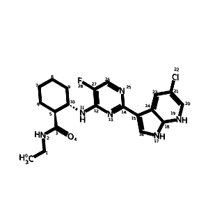 CCNC(=O)[C@H]1CCCC[C@@H]1Nc1nc(C2=CNC3NC=C(Cl)C=C23)ncc1F